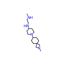 CNCCNC1CCN(C2CCC3(CC2)CN(C)C3)CC1